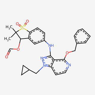 CC1(C)C(OC=O)c2cc(Nc3nn(CC4CC4)c4ccnc(OCc5ccccc5)c34)ccc2S1(=O)=O